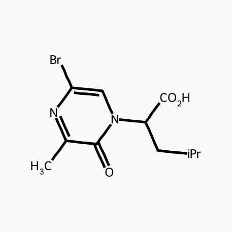 Cc1nc(Br)cn(C(CC(C)C)C(=O)O)c1=O